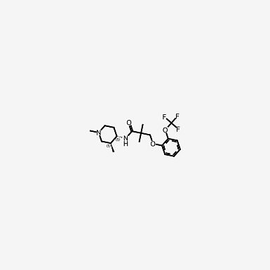 C[C@H]1CN(C)CC[C@@H]1NC(=O)C(C)(C)COc1ccccc1OC(F)(F)F